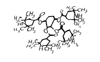 CC1(C)CC(C(=O)OC2CCC(OC(=O)C3CC(C)(C)NC(C)(C)C3)C(OC(=O)C3CC(C)(C)NC(C)(C)C3)C2OC(=O)C2CC(C)(C)NC(C)(C)C2)CC(C)(C)N1